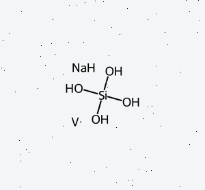 O[Si](O)(O)O.[NaH].[V]